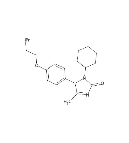 CC1=NC(=O)N(C2CCCCC2)C1c1ccc(OCCC(C)C)cc1